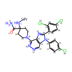 CC(C)NC1(C(N)=O)CCN(c2nncc3c2nc(-c2ccc(Cl)cc2Cl)n3-c2ccc(Cl)cc2)CC1